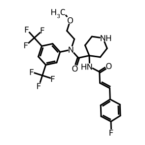 COCCN(C(=O)C1(NC(=O)/C=C/c2ccc(F)cc2)CCNCC1)c1cc(C(F)(F)F)cc(C(F)(F)F)c1